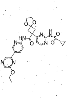 CCOc1cncc(-c2ccc(NC(=O)C3(c4ccnc(NS(=O)(=O)C5CC5)n4)CC4(C3)OCCO4)nc2)n1